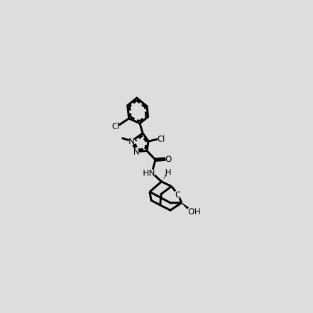 Cn1nc(C(=O)N[C@H]2C3CC4CC2C[C@@](O)(C4)C3)c(Cl)c1-c1ccccc1Cl